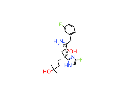 CC(C)(O)CC[C@H](C[C@H](O)[C@@H](N)Cc1cccc(F)c1)c1nc(F)c[nH]1